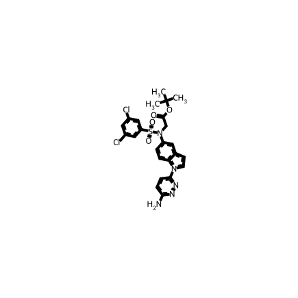 CC(C)(C)OC(=O)CN(c1ccc2c(ccn2-c2ccc(N)nn2)c1)S(=O)(=O)c1cc(Cl)cc(Cl)c1